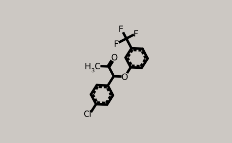 CC(=O)C(Oc1cccc(C(F)(F)F)c1)c1ccc(Cl)cc1